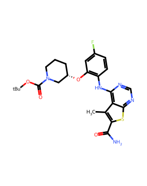 Cc1c(C(N)=O)sc2ncnc(Nc3ccc(F)cc3O[C@H]3CCCN(C(=O)OC(C)(C)C)C3)c12